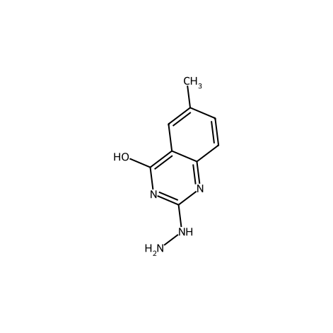 Cc1ccc2nc(NN)nc(O)c2c1